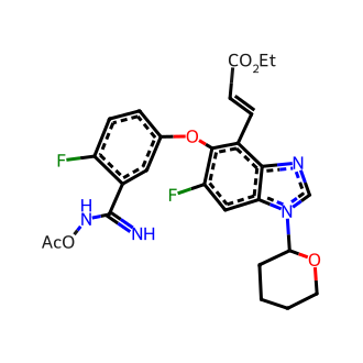 CCOC(=O)/C=C/c1c(Oc2ccc(F)c(C(=N)NOC(C)=O)c2)c(F)cc2c1ncn2C1CCCCO1